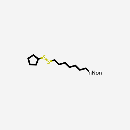 CCCCCCCCCCCCCCCCSSC1CCCC1